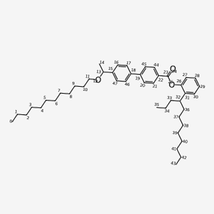 CCCCCCCCCCCCOC(C)c1ccc(-c2ccc(C(=O)Oc3ccccc3C(CCC)CCCCCCCC)cc2)cc1